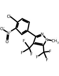 Cn1nc(-c2ccc(Cl)c([N+](=O)[O-])c2)c(C(F)(F)F)c1C(F)(F)F